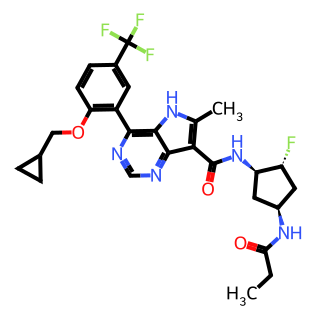 CCC(=O)N[C@@H]1C[C@@H](F)[C@H](NC(=O)c2c(C)[nH]c3c(-c4cc(C(F)(F)F)ccc4OCC4CC4)ncnc23)C1